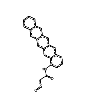 O=S=CC(=O)Nc1cccc2cc3cc4cc5ccccc5cc4cc3cc12